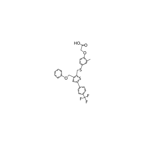 Cc1cc(SCc2sc(-c3ccc(C(F)(F)F)cc3)cc2COc2ccccc2)ccc1OCC(=O)O